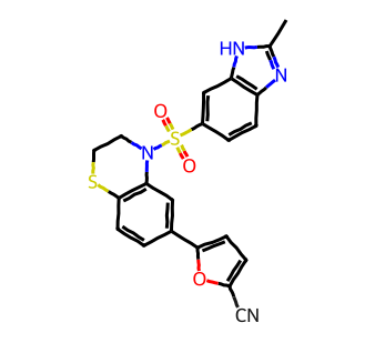 Cc1nc2ccc(S(=O)(=O)N3CCSc4ccc(-c5ccc(C#N)o5)cc43)cc2[nH]1